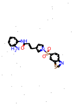 Nc1ccccc1NC(=O)C=Cc1ccn(S(=O)(=O)c2ccc3ncsc3c2)c1